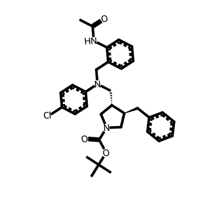 CC(=O)Nc1ccccc1CN(C[C@H]1CN(C(=O)OC(C)(C)C)C[C@@H]1Cc1ccccc1)c1ccc(Cl)cc1